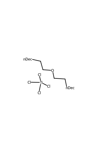 CCCCCCCCCCCCOCCCCCCCCCCCC.[Cl][Ti]([Cl])([Cl])[Cl]